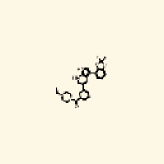 CCN1CCN(C(=O)C2C=CC=C(C3=Cc4c(-c5cccc6c5OC(F)(F)O6)c[nH]c4NC3)C2)CC1